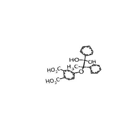 CC(Oc1ccc(C(=O)O)c(C(=O)O)c1)(c1ccccc1)C(O)(O)c1ccccc1